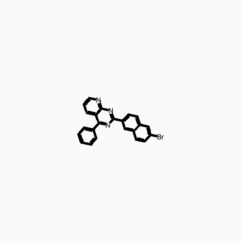 Brc1ccc2cc(-c3nc(-c4ccccc4)c4cccnc4n3)ccc2c1